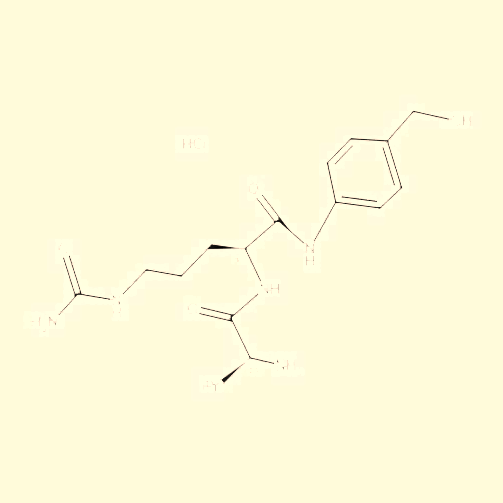 CC(C)[C@H](N)C(=O)N[C@@H](CCCNC(N)=O)C(=O)Nc1ccc(CO)cc1.Cl